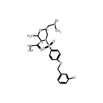 CCN(C)C[C@H]1CN(S(=O)(=O)c2ccc(OCc3cccc(Cl)c3)cc2)[C@@H](C(=O)NO)C(C)O1